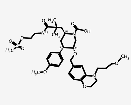 COCCCN1CCOc2ccc(CO[C@H]3CN(C(=O)O)[C@H](CC(C)(C)C(=O)NCCOS(C)(=O)=O)C[C@@H]3c3ccc(OC)cc3)cc21